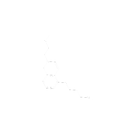 CNCCN1C=Cc2c(cccc2NCCCN)C1